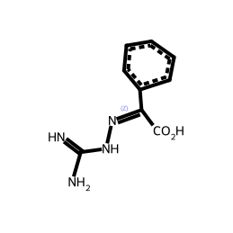 N=C(N)N/N=C(\C(=O)O)c1ccccc1